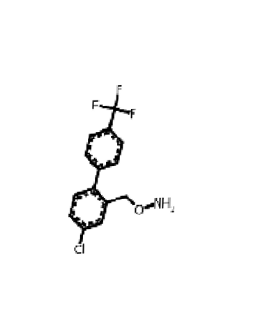 NOCc1cc(Cl)ccc1-c1ccc(C(F)(F)F)cc1